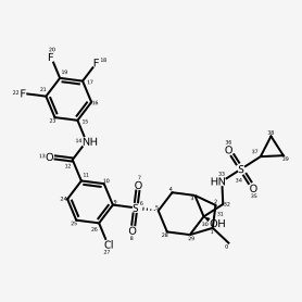 CC1CC2C[C@@H](S(=O)(=O)c3cc(C(=O)Nc4cc(F)c(F)c(F)c4)ccc3Cl)CC1[C@@]2(O)CNS(=O)(=O)C1CC1